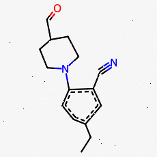 CCc1ccc(N2CCC(C=O)CC2)c(C#N)c1